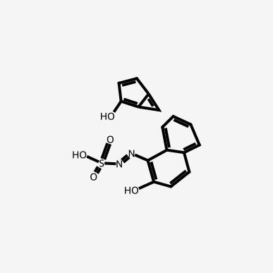 O=S(=O)(O)N=Nc1c(O)ccc2ccccc12.Oc1ccc2cc1-2